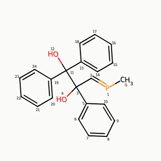 C/P=C/C(O)(c1ccccc1)C(O)(c1ccccc1)c1ccccc1